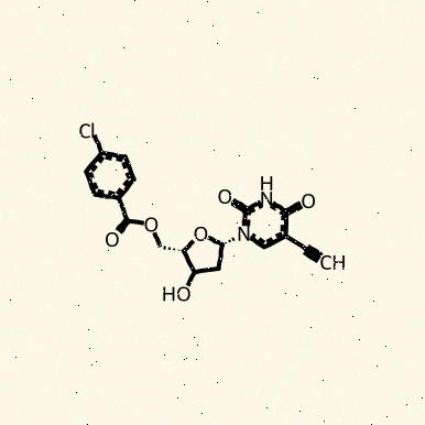 C#Cc1cn([C@@H]2CC(O)[C@H](COC(=O)c3ccc(Cl)cc3)O2)c(=O)[nH]c1=O